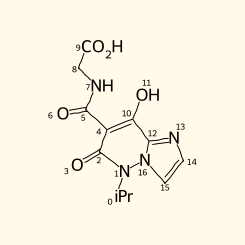 CC(C)n1c(=O)c(C(=O)NCC(=O)O)c(O)c2nccn21